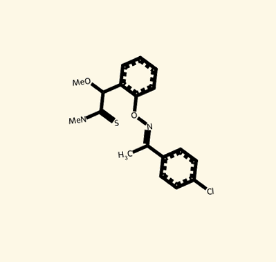 CNC(=S)C(OC)c1ccccc1O/N=C(\C)c1ccc(Cl)cc1